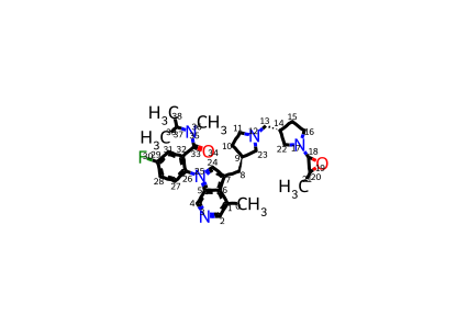 Cc1cncc2c1c(C[C@H]1CCN(C[C@@H]3CCN(C4OC4C)C3)C1)cn2-c1ccc(F)cc1C(=O)N(C)C(C)C